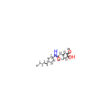 CCCC=C[C@H]1CC[C@H](NC(=O)Cc2ccc(O)c(OC)c2)CC1